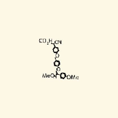 CO/N=C(\COc1ccc(COc2ccc(C(C#N)CC(=O)O)cc2)cc1)c1ccc(OC)cc1